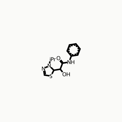 CC(C)N1N=CSC1C(O)C(=O)Nc1ccccc1